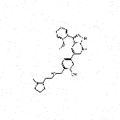 COC1=CCCC=C1c1c[nH]c2c1C=C(C1=CC=C(CNCCC3CCCN3C)C(O)C1)CN2